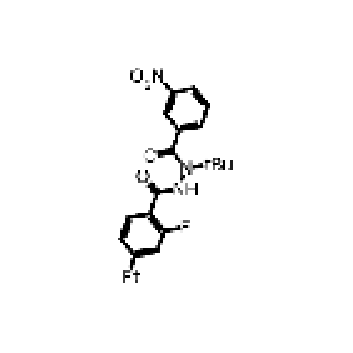 CCc1ccc(C(=O)NN(C(=O)c2cccc([N+](=O)[O-])c2)C(C)(C)C)c(F)c1